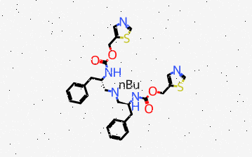 CCCCN(C[C@H](Cc1ccccc1)NC(=O)OCc1cncs1)C[C@H](Cc1ccccc1)NC(=O)OCc1cncs1